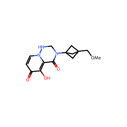 COCC12CC(N3CNn4ccc(=O)c(O)c4C3=O)(C1)C2